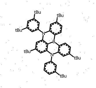 CC(C)(C)c1cccc(N2c3cc(C(C)(C)C)ccc3B3c4ccc(C(C)(C)C)cc4N(c4cc(C(C)(C)C)cc(C(C)(C)C)c4)c4cc(C(C)(C)C)cc2c43)c1